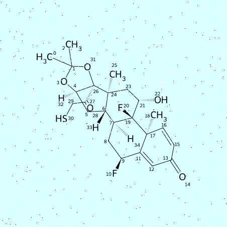 CC1(C)O[C@@H]2C[C@H]3[C@@H]4C[C@H](F)C5=CC(=O)C=C[C@]5(C)[C@@]4(F)[C@@H](O)C[C@]3(C)[C@]2(C(=O)CS)O1